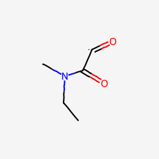 CCN(C)C(=O)[C]=O